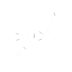 Cc1c(N(C)[C@H]2CCN(C(=O)O)C2)ccc(S(=O)(=O)N(C(=O)OC(C)(C)C)c2cscn2)c1F